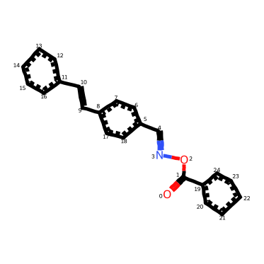 O=C(O/N=C/c1ccc(/C=C/c2ccccc2)cc1)c1ccccc1